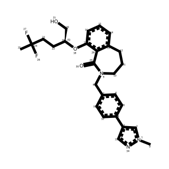 Cn1cc(-c2ccc(CN3CCCc4cccc(O[C@H](CO)CCC(C)(F)F)c4C3=O)cc2)cn1